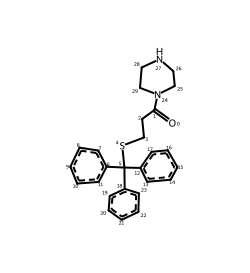 O=C(CCSC(c1ccccc1)(c1ccccc1)c1ccccc1)N1CCNCC1